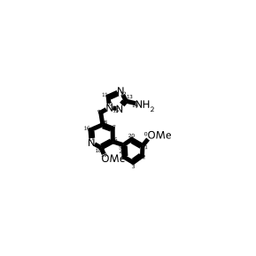 COc1cccc(-c2cc(Cn3cnc(N)n3)cnc2OC)c1